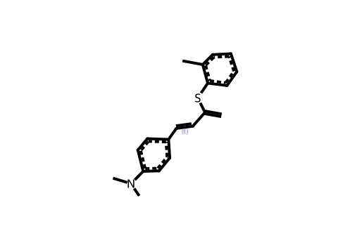 C=C(/C=C/c1ccc(N(C)C)cc1)Sc1ccccc1C